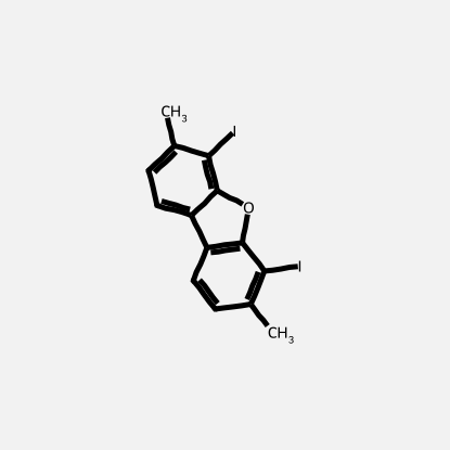 Cc1ccc2c(oc3c(I)c(C)ccc32)c1I